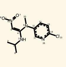 CC(C)NC(=C[N+](=O)[O-])N(C)c1ccc(Cl)nc1